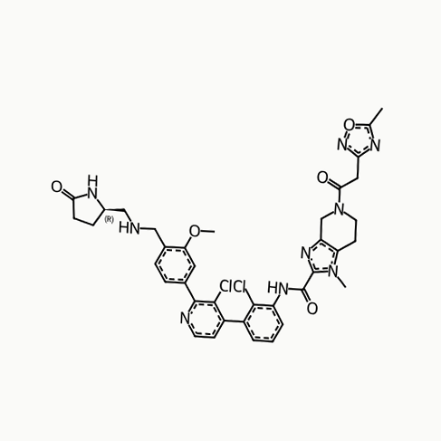 COc1cc(-c2nccc(-c3cccc(NC(=O)c4nc5c(n4C)CCN(C(=O)Cc4noc(C)n4)C5)c3Cl)c2Cl)ccc1CNC[C@H]1CCC(=O)N1